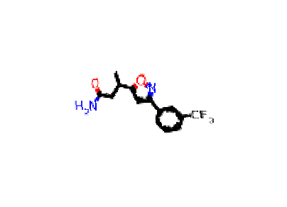 CC(CC(N)=O)c1cc(-c2cccc(C(F)(F)F)c2)no1